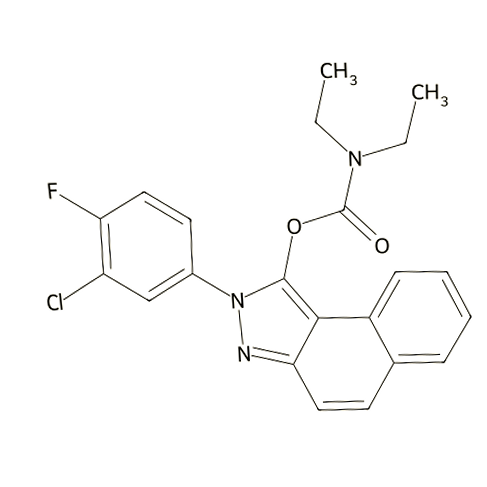 CCN(CC)C(=O)Oc1c2c(ccc3ccccc32)nn1-c1ccc(F)c(Cl)c1